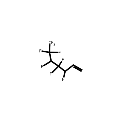 C=CC(F)C(F)(F)C(F)C(F)(F)C(F)(F)F